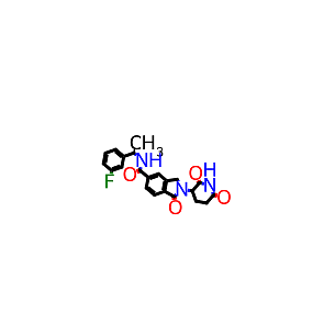 C[C@H](NC(=O)c1ccc2c(c1)CN(C1CCC(=O)NC1=O)C2=O)c1cccc(F)c1